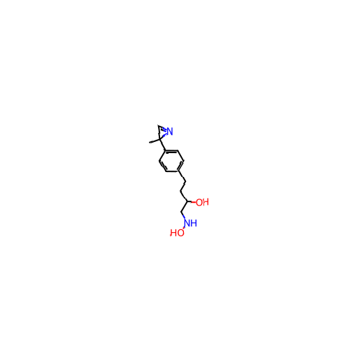 CC1(c2ccc(CCC(O)CNO)cc2)C=N1